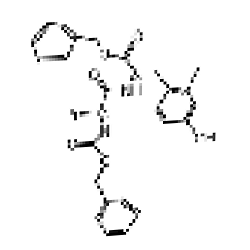 Cc1cc(O)ccc1C[C@H](NC(=O)[C@@H](NC(=O)OCc1ccccc1)C(C)C)C(=O)OCc1ccccc1